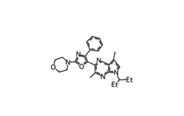 CCC(CC)n1cc(C)c2nc(-c3oc(N4CCOCC4)nc3-c3ccccc3)c(C)nc21